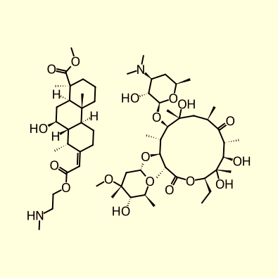 CC[C@H]1OC(=O)[C@H](C)[C@@H](O[C@H]2C[C@@](C)(OC)[C@@H](O)[C@H](C)O2)[C@H](C)[C@@H](O[C@@H]2O[C@H](C)C[C@H](N(C)C)[C@H]2O)[C@](C)(O)C[C@@H](C)C(=O)[C@H](C)[C@@H](O)[C@]1(C)O.CNCCOC(=O)/C=C1/CC[C@H]2[C@@H]([C@@H](O)C[C@@H]3[C@]2(C)CCC[C@]3(C)C(=O)OC)[C@H]1C